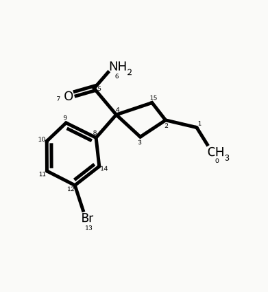 CCC1CC(C(N)=O)(c2cccc(Br)c2)C1